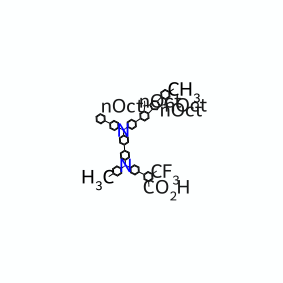 CCCCCCCCC1(CCCCCCCC)c2cc(C)ccc2-c2cc3c(cc21)-c1ccc(-c2ccc(N(c4ccc(-c5ccccc5)cc4)c4ccc(-c5ccc(N(c6ccc(C)cc6)c6ccc(-c7cc(C(=O)O)cc(C(F)(F)F)c7)cc6)cc5)cc4)cc2)cc1C3(CCCCCCCC)CCCCCCCC